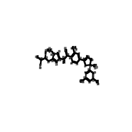 Cc1cc(C2=NOC(c3cc(Cl)cc(Cl)c3)(C(F)(F)F)C2)ccc1C(=O)Nc1nc(CC(F)C(F)F)n(C)n1